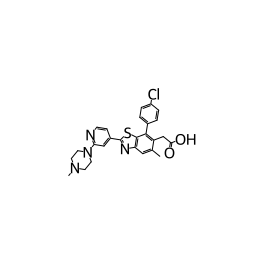 Cc1cc2nc(-c3ccnc(N4CCN(C)CC4)c3)sc2c(-c2ccc(Cl)cc2)c1CC(=O)O